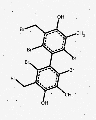 Cc1c(O)c(CBr)c(Br)c(-c2c(Br)c(C)c(O)c(CBr)c2Br)c1Br